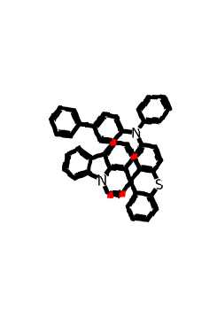 c1ccc(-c2ccc(N(c3ccccc3)c3ccc4c(c3)C3(c5ccccc5S4)c4ccccc4-n4c5ccccc5c5cccc3c54)cc2)cc1